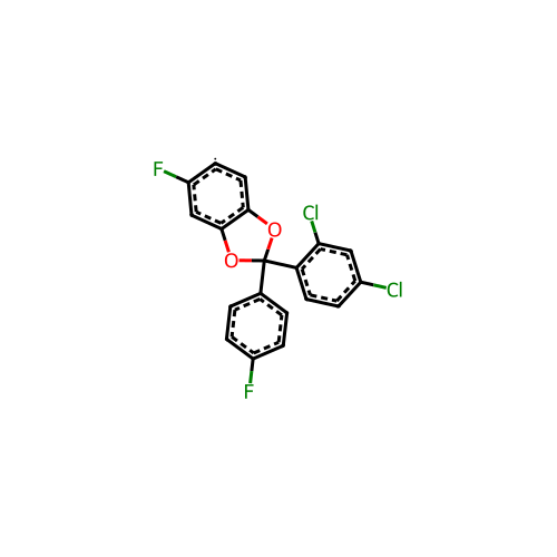 Fc1[c]cc2c(c1)OC(c1ccc(F)cc1)(c1ccc(Cl)cc1Cl)O2